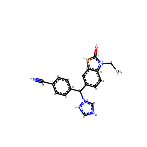 CCn1c(=O)sc2cc(C(c3ccc(C#N)cc3)n3cncn3)ccc21